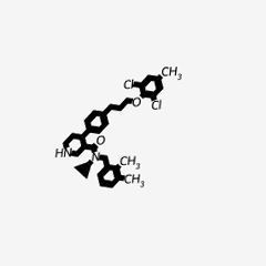 Cc1cc(Cl)c(OCCCc2ccc(C3CCNCC3C(=O)N(Cc3cccc(C)c3C)C3CC3)cc2)c(Cl)c1